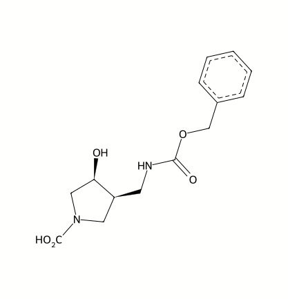 O=C(NC[C@H]1CN(C(=O)O)C[C@H]1O)OCc1ccccc1